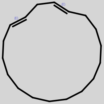 C1=C/CCCCCCCCCCCCC/C=C/C/1